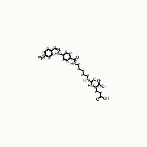 O=C(O)CCC(NC(=O)NCCCCCNC(=O)c1ccc(N/N=C\c2ccc([18F])cc2)cc1)C(=O)O